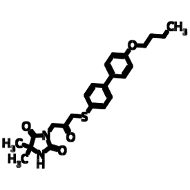 CCCCOc1ccc(-c2ccc(SCC(=O)CN3C(=O)NC(C)(C)C3=O)cc2)cc1